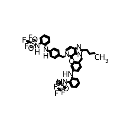 CCCCc1nc2ccn(Cc3ccc(Nc4ccccc4NS(=O)(=O)C(F)(F)F)cc3)c(=O)c2n1Cc1ccc(Nc2ccccc2NS(=O)(=O)C(F)(F)F)cc1